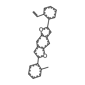 C=Cc1ccccc1-c1cc2cc3oc(-c4ccccc4C)cc3cc2o1